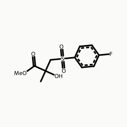 COC(=O)C(C)(O)CS(=O)(=O)c1ccc(F)cc1